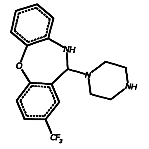 FC(F)(F)c1ccc2c(c1)C(N1CCNCC1)Nc1ccccc1O2